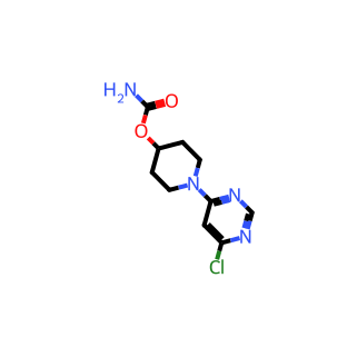 NC(=O)OC1CCN(c2cc(Cl)ncn2)CC1